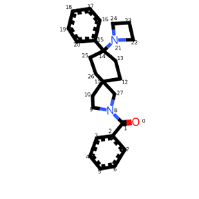 O=C(c1ccccc1)N1CCC2(CCC(c3ccccc3)(N3CCC3)CC2)C1